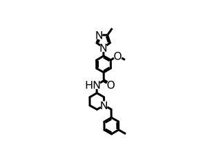 COc1cc(C(=O)NC2CCCN(Cc3cccc(C)c3)C2)ccc1-n1cnc(C)c1